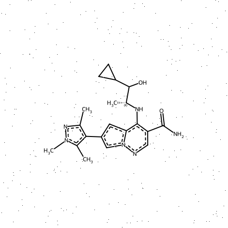 Cc1nn(C)c(C)c1-c1cc2c(N[C@H](C)C(O)C3CC3)c(C(N)=O)cnn2c1